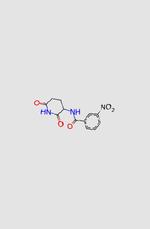 O=C1CCC(NC(=O)c2cccc([N+](=O)[O-])c2)C(=O)N1